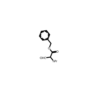 CCCC([C]=O)C(=O)OCc1ccccc1